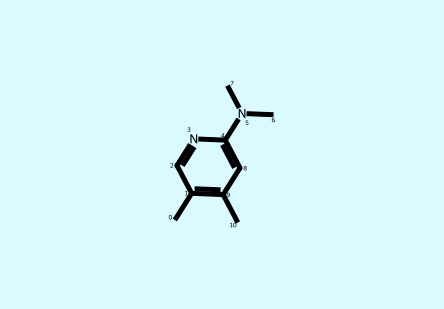 Cc1cnc(N(C)C)cc1C